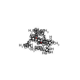 CO[C@H]1O[C@@H](CO[C@H]2O[C@@H](COCC(O)C[N+](C)(C)C)[C@H](O)C(O)C2O)[C@@H](O[C@@H]2OC(COCC(O)C[N+](C)(C)C)[C@@H](O[C@H]3O[C@@H](COCC(O)C[N+](C)(C)C)[C@@H](O[C@@H]4OC(COCC(O)C[N+](C)(C)C)[C@@H](OC)[C@@H](O)C4O)C(O)C3O)[C@@H](O)C2O)C(O)C1O